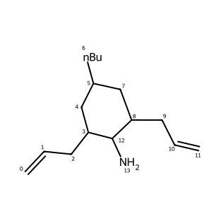 C=CCC1CC(CCCC)CC(CC=C)C1N